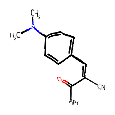 CCCC(=O)C(C#N)=Cc1ccc(N(C)C)cc1